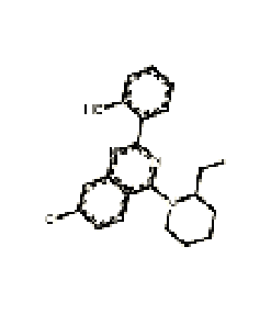 CCC1CCCCN1c1nc(-c2ccccc2O)nc2cc(Cl)ccc12